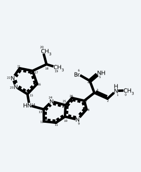 CN/C=C(\C(=N)Br)c1cnc2ccc(Nc3cc(C(C)C)cnn3)nc2c1